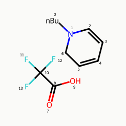 CCCCN1C=CC=CC1.O=C(O)C(F)(F)F